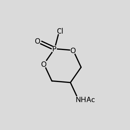 CC(=O)NC1COP(=O)(Cl)OC1